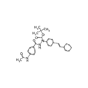 CC(=O)Nc1ccc(C(=O)NN(C(=O)OC(C)(C)C)c2ccc(C=Cc3ccccc3)cc2)cc1